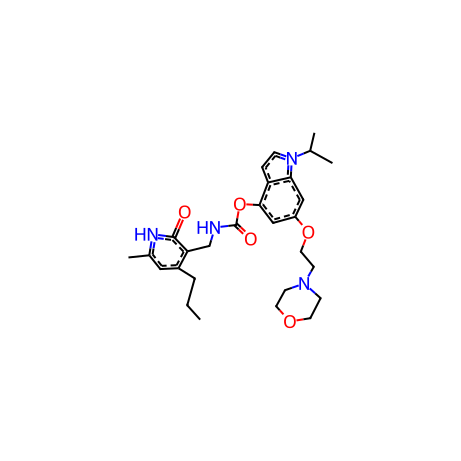 CCCc1cc(C)[nH]c(=O)c1CNC(=O)Oc1cc(OCCN2CCOCC2)cc2c1ccn2C(C)C